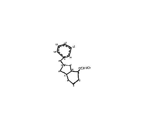 O=CC1CCCC2CN(Cc3ccccc3)CC12